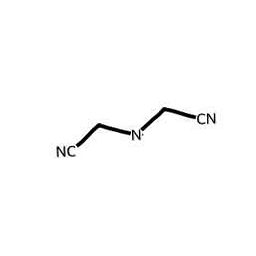 N#CC[N]CC#N